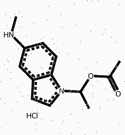 CNc1ccc2c(ccn2C(C)OC(C)=O)c1.Cl